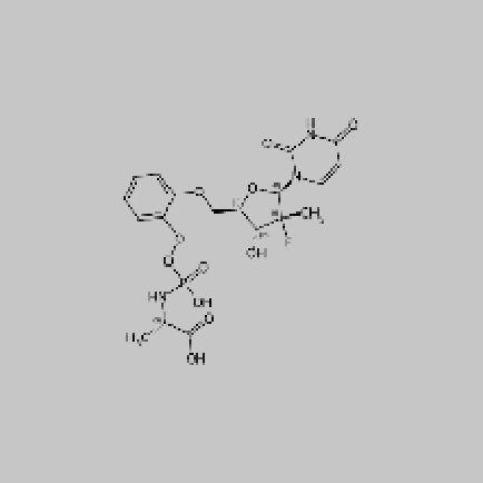 C[C@H](NP(=O)(O)OOc1ccccc1OC[C@H]1O[C@@H](n2ccc(=O)[nH]c2=O)[C@](C)(F)[C@@H]1O)C(=O)O